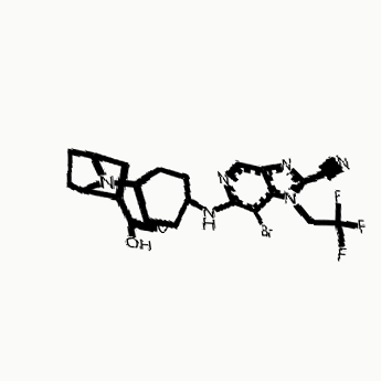 N#Cc1nc2cnc(NC3CCC(N4C5CCC4C(C(=O)O)C5)CC3)c(Br)c2n1CC(F)(F)F